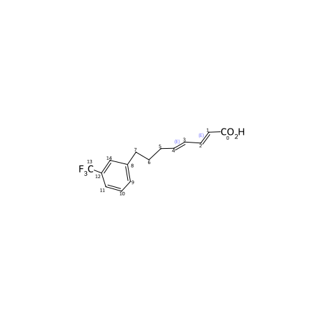 O=C(O)/C=C/C=C/CCCc1cccc(C(F)(F)F)c1